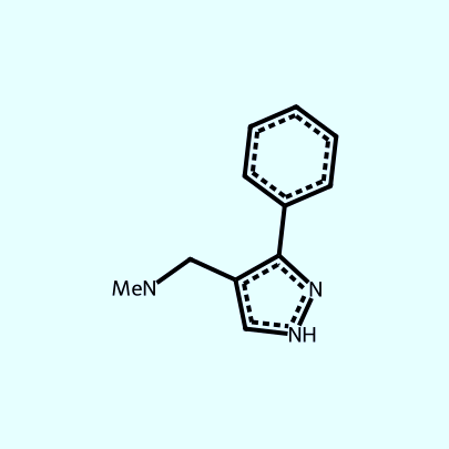 CNCc1c[nH]nc1-c1ccccc1